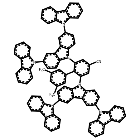 N#Cc1cc(-n2c3ccc(-n4c5ccccc5c5ccccc54)cc3c3cc(-n4c5ccccc5c5ccccc54)ccc32)c(-c2cc(C(F)(F)F)cc(C(F)(F)F)c2)c(-n2c3ccc(-n4c5ccccc5c5ccccc54)cc3c3cc(-n4c5ccccc5c5ccccc54)ccc32)c1